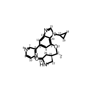 C[C@@H](Oc1cc(-c2cnccn2)cc2ncn(C3CC3)c12)[C@H]1CNC(=O)C1